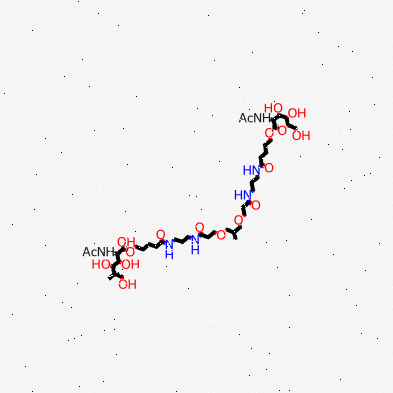 CC(=O)NC1C(O)C(O)C(CO)O[C@@H]1OCCCCC(=O)NCCCNC(=O)CCOCC(C)COCCC(=O)NCCCNC(=O)CCCCO[C@H](O)C(NC(C)=O)C(O)C(O)C(C)CO